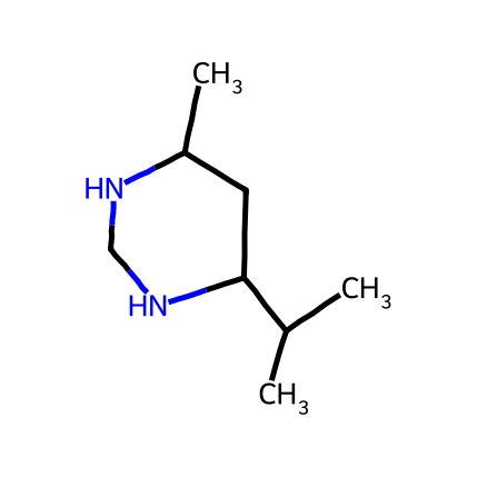 CC1CC(C(C)C)NCN1